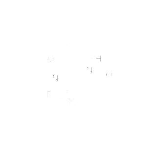 CC(C)Oc1cc(N(S)C=O)cc(C(F)(F)F)n1